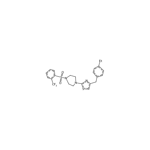 CCc1ccc(Cc2csc(N3CCN(S(=O)(=O)c4ccccc4C(F)(F)F)CC3)n2)cc1